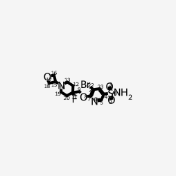 NS(=O)(=O)c1cnc(OCC2(F)CCN(C3COC3)CC2)c(Br)c1